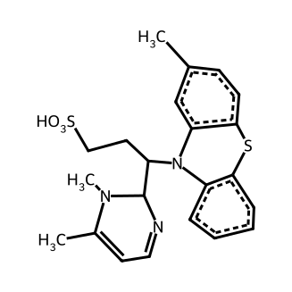 CC1=CC=NC(C(CCS(=O)(=O)O)N2c3ccccc3Sc3ccc(C)cc32)N1C